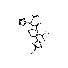 CSc1ncc(C2=C(C(=O)O)N3C(=O)C(N(C(C)=O)c4cccs4)C3SC2)s1